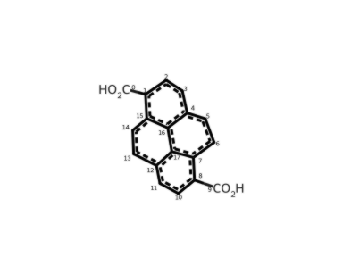 O=C(O)c1ccc2ccc3c(C(=O)O)ccc4ccc1c2c43